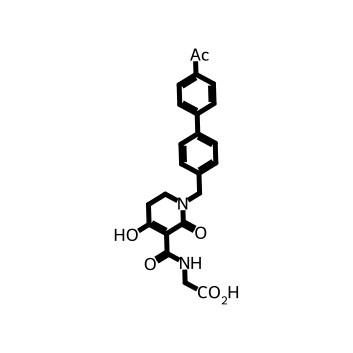 CC(=O)c1ccc(-c2ccc(CN3CCC(O)=C(C(=O)NCC(=O)O)C3=O)cc2)cc1